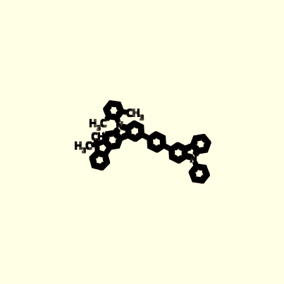 Cc1cccc(C)c1-n1c2ccc(-c3ccc(-c4ccc5c(c4)c4ccccc4n5-c4ccccc4)cc3)cc2c2cc3c(cc21)C(C)(C)c1ccccc1-3